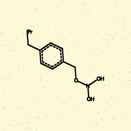 CC(C)Cc1ccc(CON(O)O)cc1